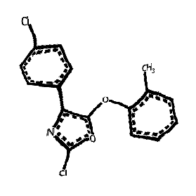 Cc1ccccc1Oc1oc(Cl)nc1-c1ccc(Cl)cc1